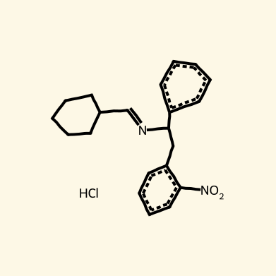 Cl.O=[N+]([O-])c1ccccc1CC(N=CC1CCCCC1)c1ccccc1